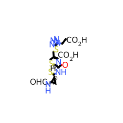 O=CN[C@@H]1C[C@@H]1C(=S)NC1C(=O)N2C(C(=O)O)=C(CSc3nnnn3CCC(=O)O)CS[C@@H]12